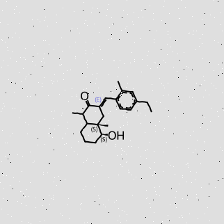 CCc1ccc(/C=C2\C[C@@]3(C)C(CCC[C@@H]3O)C(C)C2=O)c(C)c1